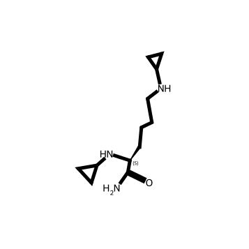 NC(=O)[C@H](CCCCNC1CC1)NC1CC1